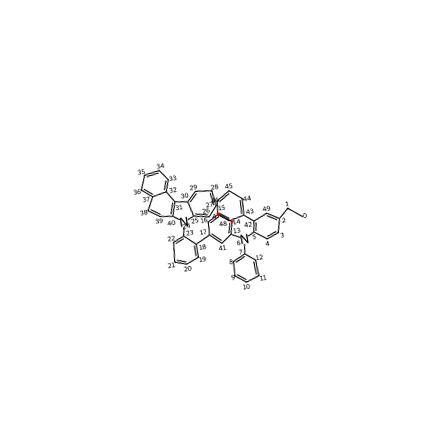 CCc1ccc(N(c2ccccc2)c2cccc(-c3ccccc3-n3c4ccccc4c4c5ccccc5ccc43)c2)c(-c2ccccc2)c1